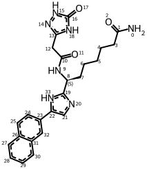 NC(=O)CCCCC[C@H](NC(=O)Cc1n[nH]c(=O)[nH]1)c1ncc(-c2ccc3ccccc3c2)[nH]1